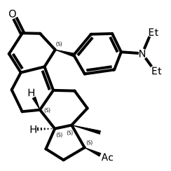 CCN(CC)c1ccc([C@@H]2CC(=O)C=C3CC[C@@H]4C(=C32)CC[C@]2(C)[C@@H](C(C)=O)CC[C@@H]42)cc1